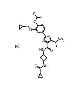 C[C@H](N)c1oc(-c2ccc(OC(F)F)c(OCC3CC3)c2)nc1C(=O)NC1CC(NC(=O)C2CC2)C1.Cl